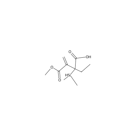 C=C(C(=O)OC)C(CC)(C(=O)O)[SiH](C)C